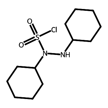 O=S(=O)(Cl)N(NC1CCCCC1)C1CCCCC1